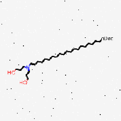 CCCCCCCCCCCCCCCCCCCCCCCCCCCCC=CN(CCCO)CCCO